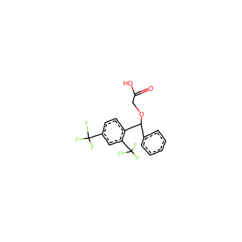 O=C(O)COC(c1ccccc1)c1ccc(C(F)(F)F)cc1C(F)(F)F